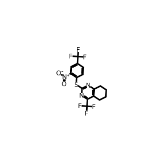 O=[N+]([O-])c1cc(C(F)(F)F)ccc1Sc1nc2c(c(C(F)(F)F)n1)CCCC2